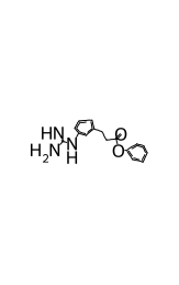 N=C(N)Nc1cccc(CCC(=O)Oc2ccccc2)c1